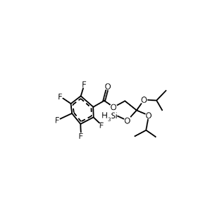 CC(C)OC(COC(=O)c1c(F)c(F)c(F)c(F)c1F)(O[SiH3])OC(C)C